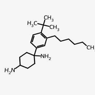 CCCCCCc1cc(C2(N)CCC(N)CC2)ccc1C(C)(C)C